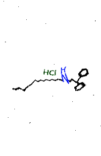 CCCCCCCCCCCCCCCCNCCC(c1ccccc1)c1ccccc1.Cl